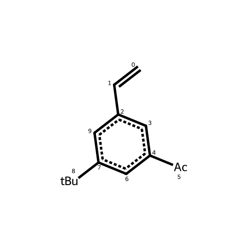 C=Cc1cc(C(C)=O)cc(C(C)(C)C)c1